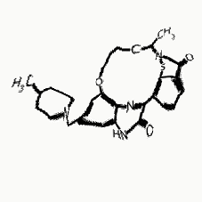 CC1CCN(Cc2cc3c4nc(c(=O)[nH]c4c2)-c2cccc4c(=O)n(sc24)C(C)CCCCO3)CC1